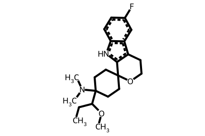 CCC(OC)C1(N(C)C)CCC2(CC1)OCCc1c2[nH]c2ccc(F)cc12